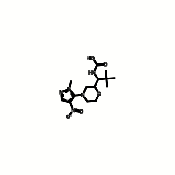 Cn1ncc([N+](=O)[O-])c1N1CCOC(C(NC(=O)O)C(C)(C)C)C1